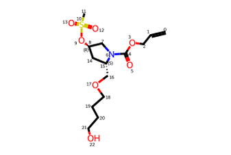 C=CCOC(=O)N1C[C@H](OS(C)(=O)=O)C[C@H]1COCCCCO